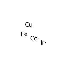 [Co].[Cu].[Fe].[Ir]